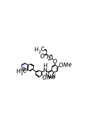 C=CC(=O)N1CC(Oc2cc3c(Nc4cc(-c5ccc(/C=C\C(C)CC)c(C)c5)ccc4OC)ncnc3cc2OC)C1